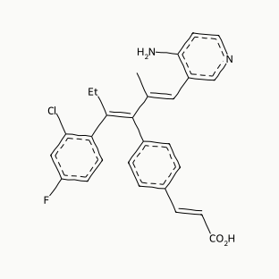 CC/C(=C(\C(C)=C\c1cnccc1N)c1ccc(/C=C/C(=O)O)cc1)c1ccc(F)cc1Cl